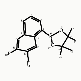 CC1(C)OB(c2cccc3cc(F)c(F)cc23)OC1(C)C